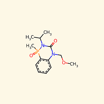 COCN1C(=O)N(C(C)C)P(C)(=O)c2ccccc21